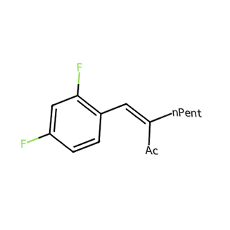 CCCCCC(=Cc1ccc(F)cc1F)C(C)=O